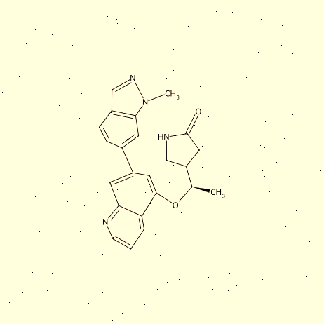 C[C@@H](Oc1cc(-c2ccc3cnn(C)c3c2)cc2ncccc12)C1CNC(=O)C1